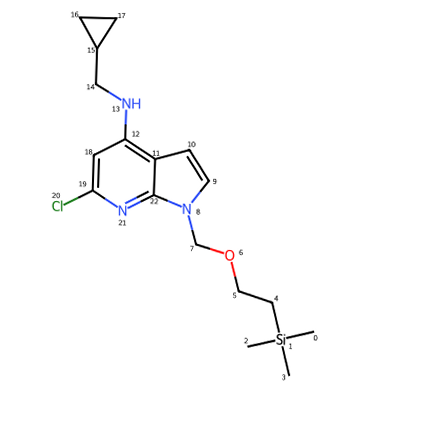 C[Si](C)(C)CCOCn1ccc2c(NCC3CC3)cc(Cl)nc21